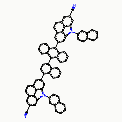 N#Cc1cc2ccc3cc(-c4ccc(-c5c6ccccc6c(-c6cc7ccc8cc(C#N)cc9c8c7c(c6)n9-c6ccc7ccccc7c6)c6ccccc56)c5ccccc45)cc4c3c2c(c1)n4-c1ccc2ccccc2c1